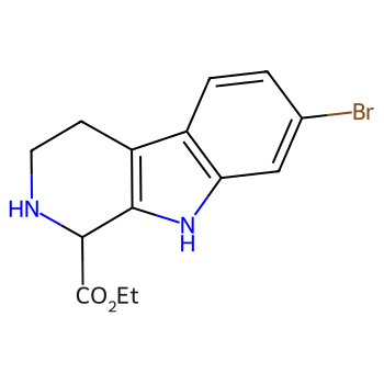 CCOC(=O)C1NCCc2c1[nH]c1cc(Br)ccc21